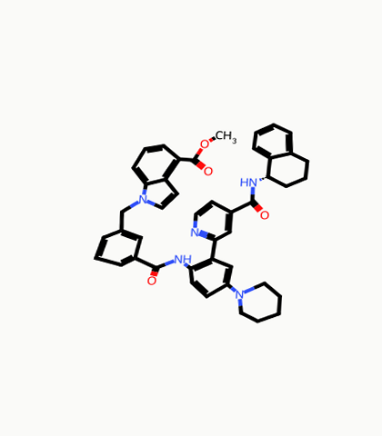 COC(=O)c1cccc2c1ccn2Cc1cccc(C(=O)Nc2ccc(N3CCCCC3)cc2-c2cc(C(=O)N[C@H]3CCCc4ccccc43)ccn2)c1